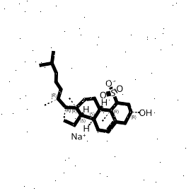 CC(C)CCC[C@@H](C)[C@H]1CC[C@H]2[C@@H]3CC=C4C[C@@H](O)CC(S(=O)(=O)[O-])[C@]4(C)[C@H]3CC[C@]12C.[Na+]